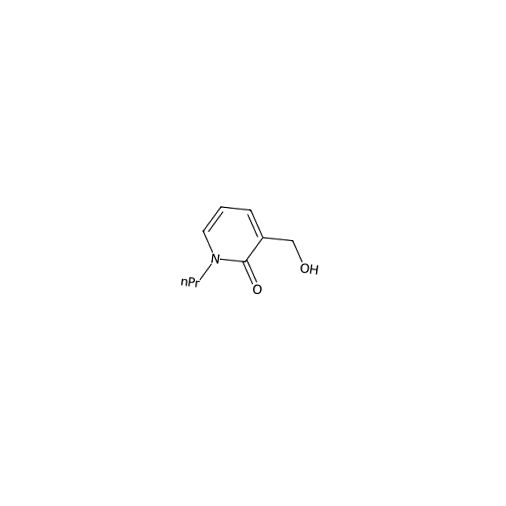 CCCn1cccc(CO)c1=O